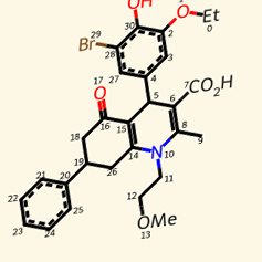 CCOc1cc(C2C(C(=O)O)=C(C)N(CCOC)C3=C2C(=O)CC(c2ccccc2)C3)cc(Br)c1O